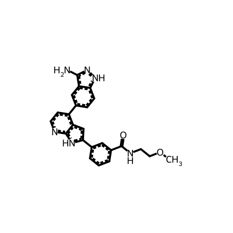 COCCNC(=O)c1cccc(-c2cc3c(-c4ccc5[nH]nc(N)c5c4)ccnc3[nH]2)c1